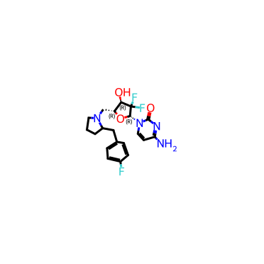 Nc1ccn([C@@H]2O[C@H](CN3CCCC3Cc3ccc(F)cc3)[C@@H](O)C2(F)F)c(=O)n1